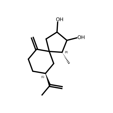 C=C(C)[C@H]1CCC(=C)C2(CC(O)C(O)[C@@H]2C)C1